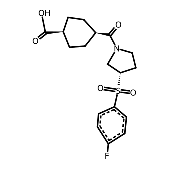 O=C(O)[C@H]1CC[C@@H](C(=O)N2CC[C@H](S(=O)(=O)c3ccc(F)cc3)C2)CC1